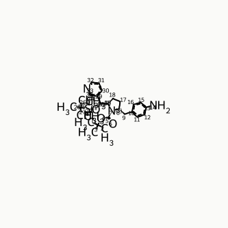 CC(C)(C)OC(=O)N1[C@H](Cc2ccc(N)cc2)CC[C@@H]1[C@H](O[Si](C)(C)C(C)(C)C)c1cccnc1